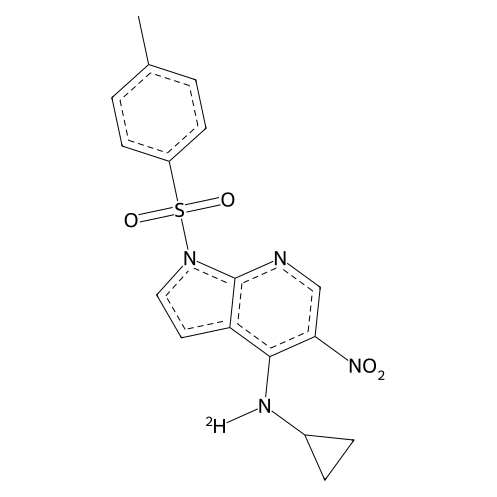 [2H]N(c1c([N+](=O)[O-])cnc2c1ccn2S(=O)(=O)c1ccc(C)cc1)C1CC1